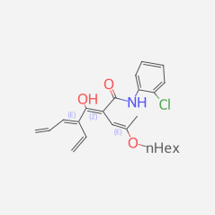 C=C/C=C(C=C)/C(O)=C(\C=C(/C)OCCCCCC)C(=O)Nc1ccccc1Cl